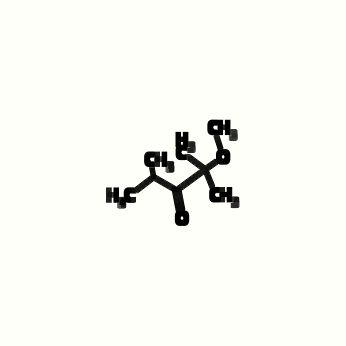 COC(C)(C)C(=O)C(C)C